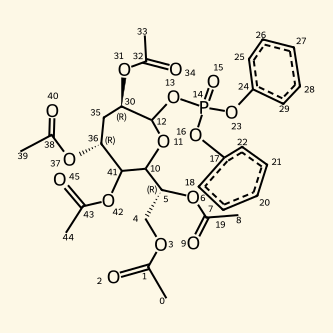 CC(=O)OC[C@@H](OC(C)=O)C1OC(OP(=O)(Oc2ccccc2)Oc2ccccc2)[C@H](OC(C)=O)C[C@@H](OC(C)=O)C1OC(C)=O